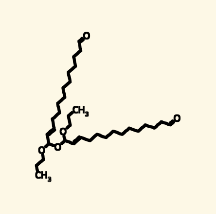 CCCOC(C=CCCCCCCCCCCC=O)OC(C=CCCCCCCCCCCC=O)OCCC